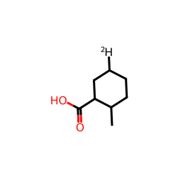 [2H]C1CCC(C)C(C(=O)O)C1